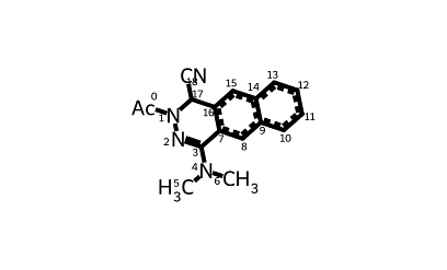 CC(=O)N1N=C(N(C)C)c2cc3ccccc3cc2C1C#N